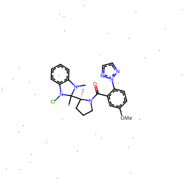 COc1ccc(-n2nccn2)c(C(=O)N2CCC[C@@]2(C)C2(C)N(C)c3ccccc3N2Cl)c1